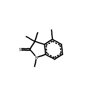 Cc1cccc2c1C(C)(C)C(=S)N2C